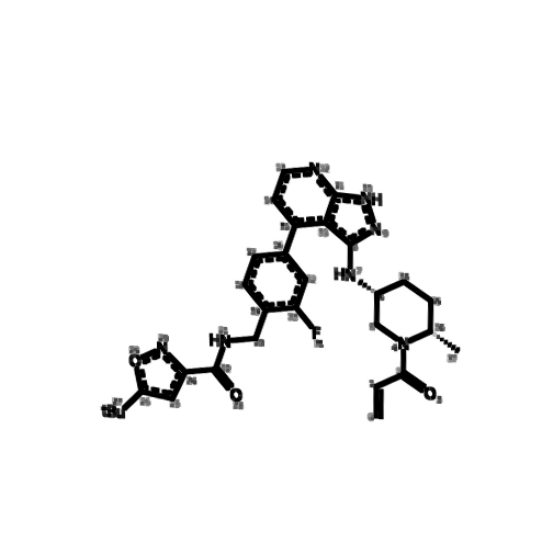 C=CC(=O)N1C[C@H](Nc2n[nH]c3nccc(-c4ccc(CNC(=O)c5cc(C(C)(C)C)on5)c(F)c4)c23)CC[C@@H]1C